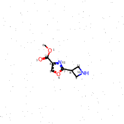 COC(=O)c1coc(C2CNC2)n1